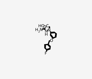 NC(=O)NN(CC(=O)O)c1cccc(OCc2ccc(F)cc2)c1